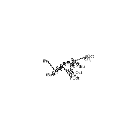 CCCCCCCCC(C)CCCCCCCCc1c(-c2ccc(-c3ccc(C4=C5C(=O)N(CCCCCCCC(C)CCCCCCCC)C(c6ccc(C(C)(C)C)s6)=C5C(=O)N4CCCCCCCC(C)CCCCCCCC)s3)s2)sc2c1sc1c3sc(-c4ccc(C(C)(C)C)s4)c(CCCCCCCCC(C)C)c3sc21